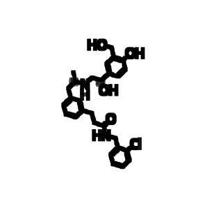 C[C@H](Cc1cccc(CCC(=O)NCc2ccccc2Cl)c1)NC[C@@H](O)c1ccc(O)c(CO)c1